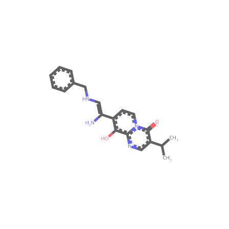 CC(C)c1cnc2c(O)c(/C(N)=C/NCc3ccccc3)ccn2c1=O